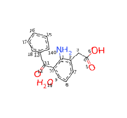 Nc1c(CC(=O)O)cccc1C(=O)c1ccccc1.O